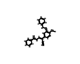 COc1ccc(C(C#N)=CCNc2ccccc2)cc1OCc1ccccc1